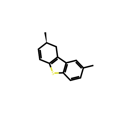 Cc1ccc2sc3c(c2c1)C[C@H](C)C=C3